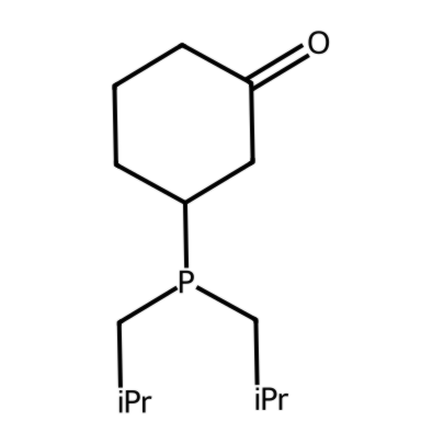 CC(C)CP(CC(C)C)C1CCCC(=O)C1